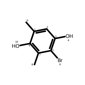 Cc1cc(O)c(Br)c(C)c1O